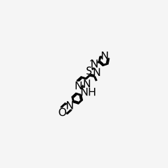 Cc1nc(N(C)c2cccnc2)sc1-c1ccnc(Nc2ccc(N3CCOCC3)cc2)n1